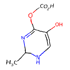 CC1N=C(OC(=O)O)C(O)=CN1